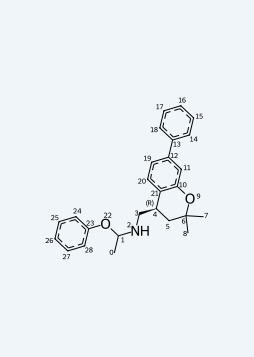 CC(NC[C@@H]1CC(C)(C)Oc2cc(-c3ccccc3)ccc21)Oc1ccccc1